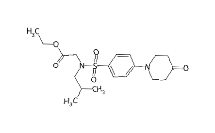 CCOC(=O)CN(CC(C)C)S(=O)(=O)c1ccc(N2CCC(=O)CC2)cc1